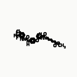 COC(=O)CCCCCNC(=O)c1cc(Oc2ccc(NC(=O)Nc3ccc(Cl)c(C(F)(F)F)c3)cc2)ccn1